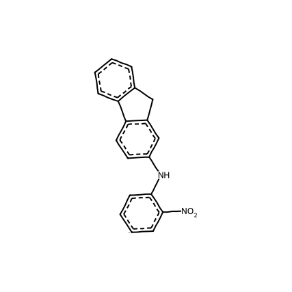 O=[N+]([O-])c1c[c]ccc1Nc1ccc2c(c1)Cc1ccccc1-2